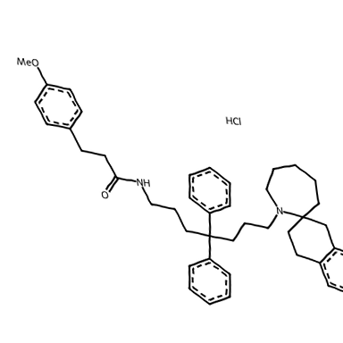 COc1ccc(CCC(=O)NCCCC(CCCN2CCCCCC23CCc2ccccc2C3)(c2ccccc2)c2ccccc2)cc1.Cl